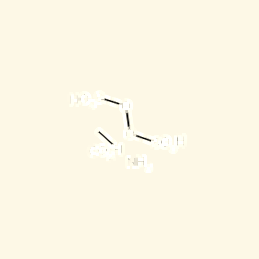 CC(=O)O.N.O=S(=O)(O)OOS(=O)(=O)O